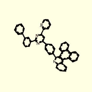 c1ccc(-c2cccc(-c3nc(-c4ccc(-c5nc6ccccc6c6c7ccccc7c7ccccc7c56)cc4)cc(-c4ccccn4)n3)c2)cc1